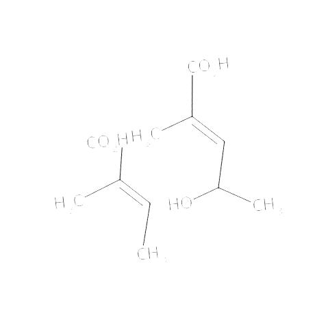 CC(=CC(C)O)C(=O)O.CC=C(C)C(=O)O